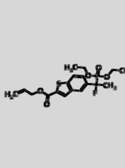 C=CCOC(=O)c1cc2cc(C(C)(F)P(=O)(OCC)OCC)ccc2s1